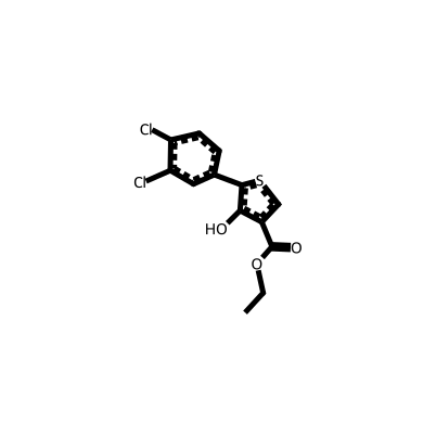 CCOC(=O)c1csc(-c2ccc(Cl)c(Cl)c2)c1O